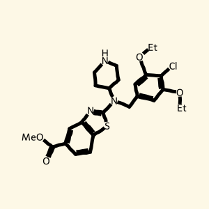 CCOc1cc(CN(c2nc3cc(C(=O)OC)ccc3s2)C2CCNCC2)cc(OCC)c1Cl